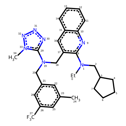 CCN(CC1CCCC1)c1nc2ccccc2cc1CN(Cc1cc(C)cc(C(F)(F)F)c1)c1nnnn1C